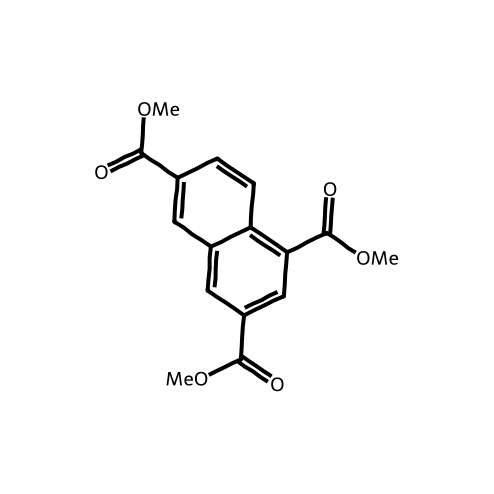 COC(=O)c1ccc2c(C(=O)OC)cc(C(=O)OC)cc2c1